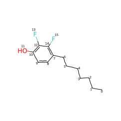 CCCCCCCc1ccc(O)c(F)c1F